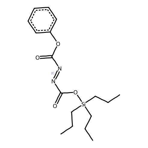 CCC[Si](CCC)(CCC)OC(=O)/N=N/C(=O)Oc1ccccc1